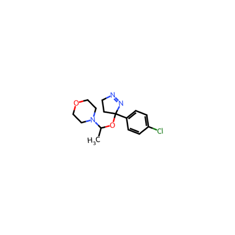 CC(OC1(c2ccc(Cl)cc2)CCN=N1)N1CCOCC1